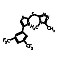 Cc1nnc(Sc2nc(-c3cc(C(F)(F)F)cc(C(F)(F)F)c3)cs2)n1C